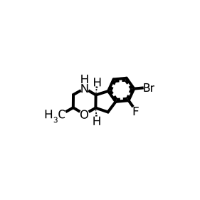 CC1CN[C@H]2c3ccc(Br)c(F)c3C[C@H]2O1